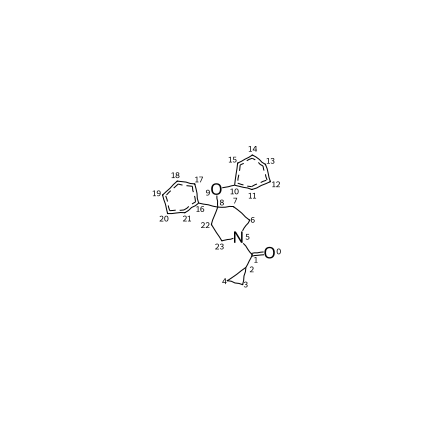 O=C(C1CC1)N1CCC(Oc2ccccc2)(c2ccccc2)CC1